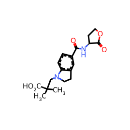 CC(C)(CN1CCc2cc(C(=O)N[C@H]3CCOC3=O)ccc21)C(=O)O